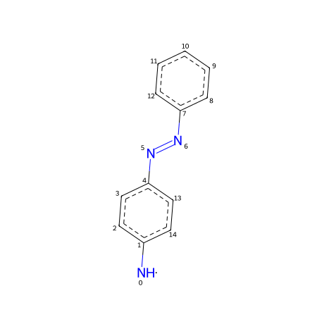 [NH]c1ccc(N=Nc2ccccc2)cc1